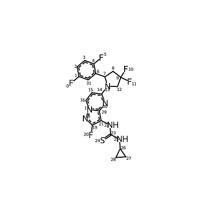 Fc1ccc(F)c(C2CC(F)(F)CN2c2ccn3nc(F)c(NC(=S)NC4CC4)c3n2)c1